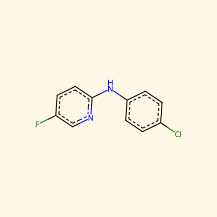 Fc1ccc(Nc2ccc(Cl)cc2)nc1